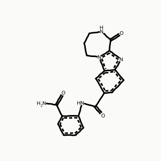 NC(=O)c1ccccc1NC(=O)c1ccc2nc3n(c2c1)CCCNC3=O